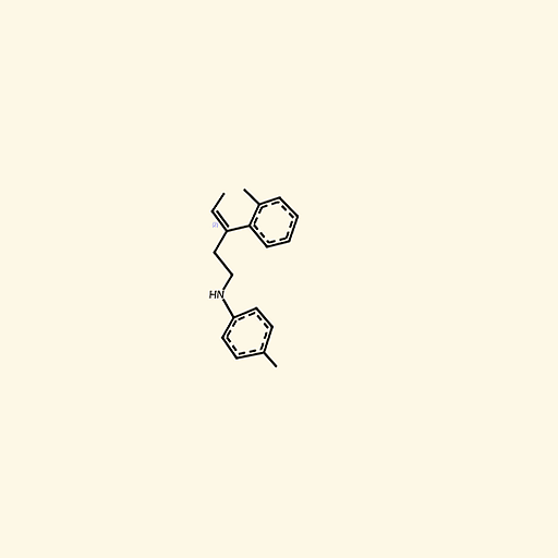 C/C=C(/CCNc1ccc(C)cc1)c1ccccc1C